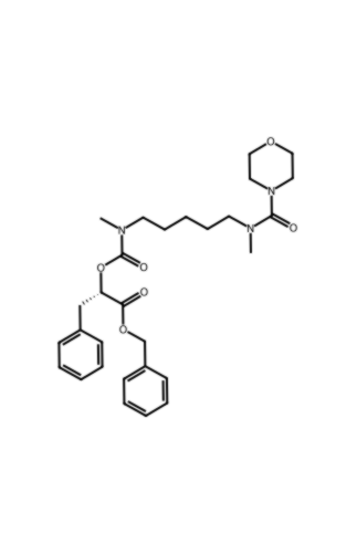 CN(CCCCCN(C)C(=O)N1CCOCC1)C(=O)O[C@@H](Cc1ccccc1)C(=O)OCc1ccccc1